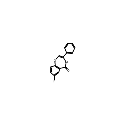 O=C1NC(c2ccccc2)=COc2ccc(F)cc21